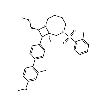 COC[C@@H]1C(c2ccc(-c3ccc(OC)cc3C)cc2)[C@@H]2CN(S(=O)(=O)c3ccccc3C)CCCCN12